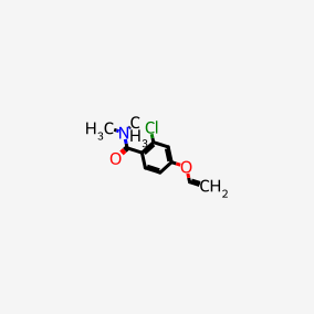 C=COc1ccc(C(=O)N(C)C)c(Cl)c1